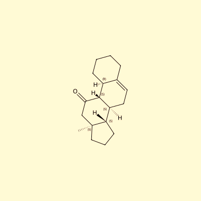 C[C@@]12CCC[C@H]1[C@@H]1CC=C3CCCC[C@@H]3[C@H]1C(=O)C2